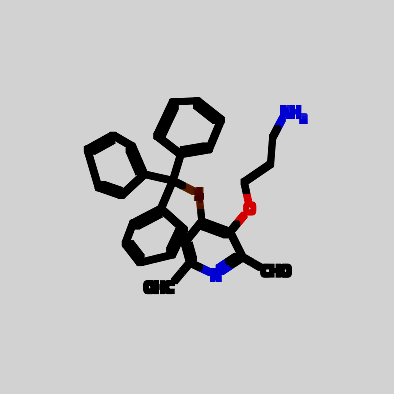 NCCCOc1c(SC(c2ccccc2)(c2ccccc2)c2ccccc2)cc(C=O)nc1C=O